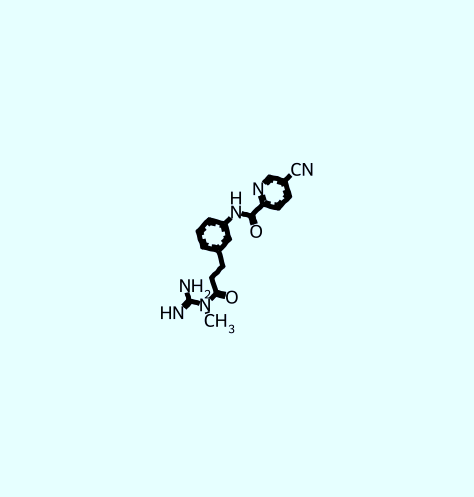 CN(C(=N)N)C(=O)CCc1cccc(NC(=O)c2ccc(C#N)cn2)c1